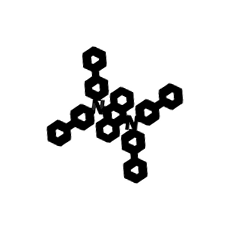 c1ccc(-c2ccc(N(c3ccc(-c4ccccc4)cc3)c3c4c(c(N(c5ccc(-c6ccccc6)cc5)c5ccc(-c6ccccc6)cc5)c5c3CCCC5)CCCC4)cc2)cc1